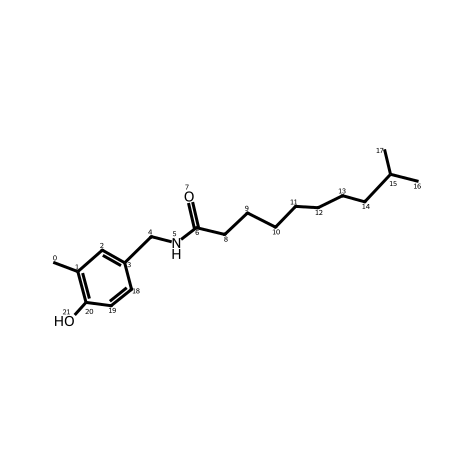 Cc1cc(CNC(=O)CCCCCCCC(C)C)ccc1O